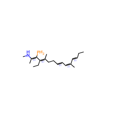 CC/C=C/C(C)=C\C=C\CC/C(C)=C(CC)/C(P)=C(\C)NC